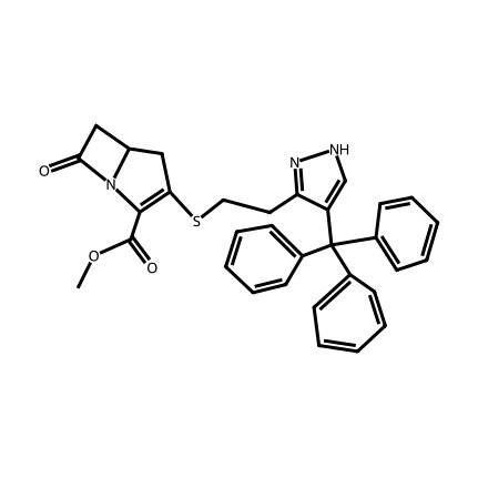 COC(=O)C1=C(SCCc2n[nH]cc2C(c2ccccc2)(c2ccccc2)c2ccccc2)CC2CC(=O)N12